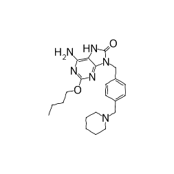 CCCCOc1nc(N)c2[nH]c(=O)n(Cc3ccc(CN4CCCCC4)cc3)c2n1